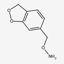 NOCc1ccc2c(c1)OOC2